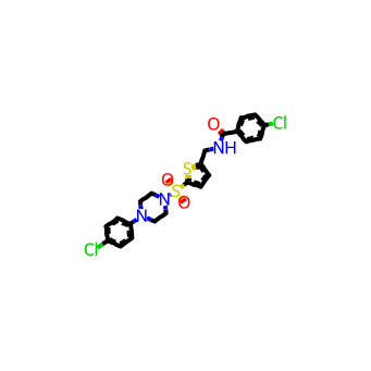 O=C(NCc1ccc(S(=O)(=O)N2CCN(c3ccc(Cl)cc3)CC2)s1)c1ccc(Cl)cc1